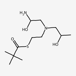 CC(O)CN(CCSC(=O)C(C)(C)C)CC(N)O